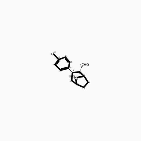 CN1C2CCC1[C@@H](C=O)[C@@H](c1ccc(Cl)cc1)C2